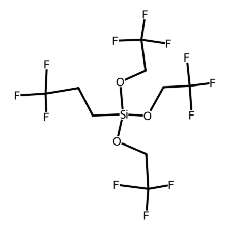 FC(F)(F)CC[Si](OCC(F)(F)F)(OCC(F)(F)F)OCC(F)(F)F